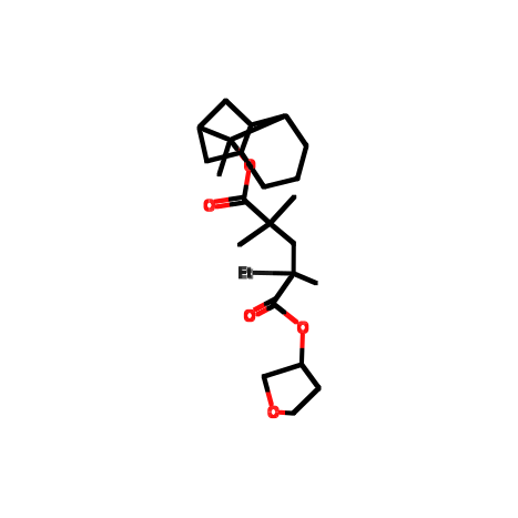 CCC(C)(CC(C)(C)C(=O)OC1(C)C2CC3CCCC1C3C2)C(=O)OC1CCOC1